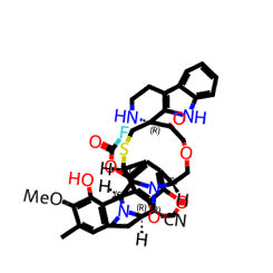 COc1c(C)cc2c(c1O)[C@H]1C3[C@@H]4SC[C@]5(NCCc6c5[nH]c5ccccc65)C(=O)COC[C@@H](c5c6c(c(C)c(OC(=O)F)c54)OCO6)N3[C@@H](C#N)[C@@H](C2)N1C